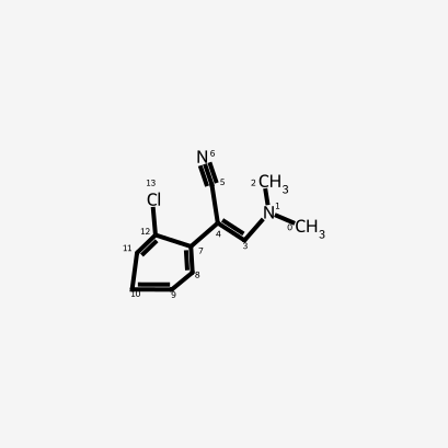 CN(C)C=C(C#N)c1ccccc1Cl